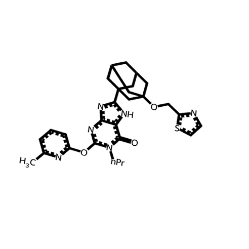 CCCn1c(Oc2cccc(C)n2)nc2nc(C34CC5CC(CC(OCc6nccs6)(C5)C3)C4)[nH]c2c1=O